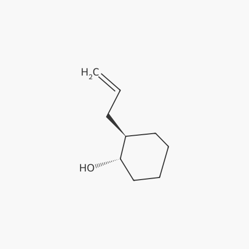 C=CC[C@H]1CCCC[C@@H]1O